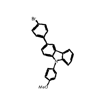 COc1ccc(-n2c3ccccc3c3cc(-c4ccc(Br)cc4)ccc32)cc1